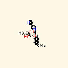 COc1ccc2cc(OCCCN3CCC(c4cccnc4)CC3)ccc2c1.O=C(O)C(O)C(O)C(=O)O